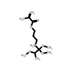 C=C(C)C(=O)OCCC[SiH2]C(OC)(OC)C(C)OC